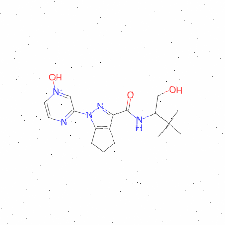 CC(C)(C)C(CO)NC(=O)c1nn(-c2c[n+](O)ccn2)c2c1CCC2